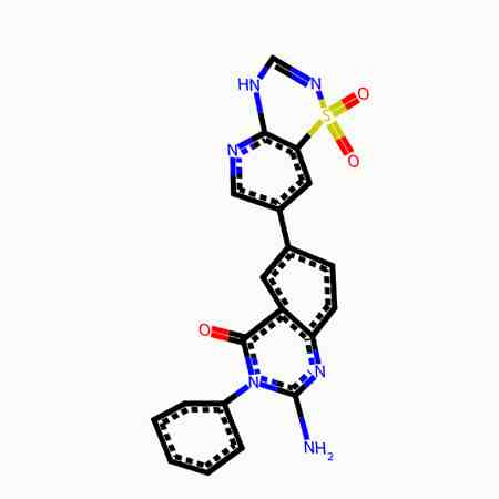 Nc1nc2ccc(-c3cnc4c(c3)S(=O)(=O)N=CN4)cc2c(=O)n1-c1ccccc1